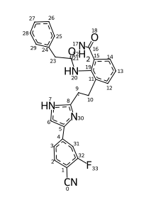 N#Cc1ccc(-c2c[nH]c([CH]Cc3cccc(C(N)=O)c3NC(=O)Cc3ccccc3)n2)cc1F